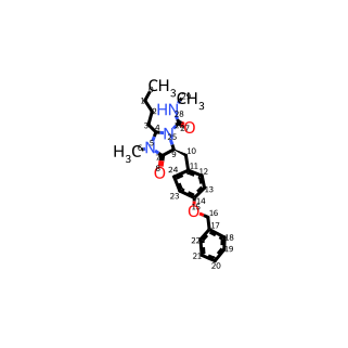 CCCCC1N(C)C(=O)[C@H](Cc2ccc(OCc3ccccc3)cc2)N1C(=O)NC